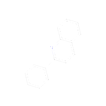 [c]1ccc2ccc(-c3ccccc3)nc2c1